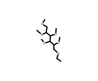 CCOCC(OC)C(OC)C(OC)C(COC)OC